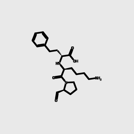 NCCCC[C@H](N[C@H](CCc1ccccc1)C(=O)O)C(=O)N1CCC[C@H]1C=O